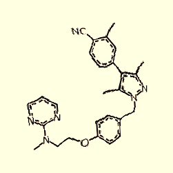 Cc1cc(-c2c(C)nn(Cc3ccc(OCCN(C)c4ncccn4)cc3)c2C)ccc1C#N